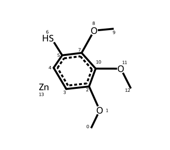 COc1ccc(S)c(OC)c1OC.[Zn]